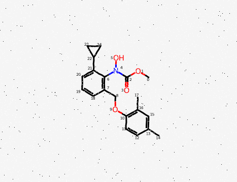 COC(=O)N(O)c1c(COc2ccc(C)cc2C)cccc1C1CC1